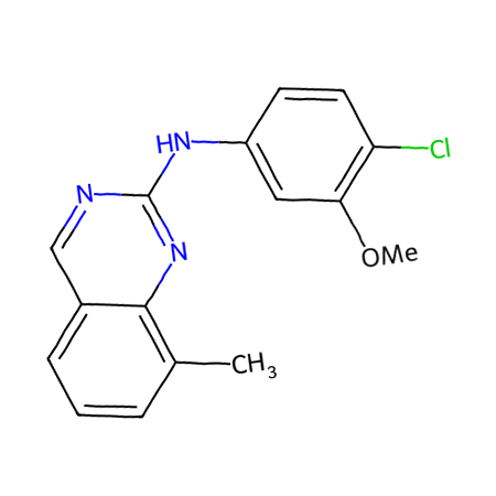 COc1cc(Nc2ncc3cccc(C)c3n2)ccc1Cl